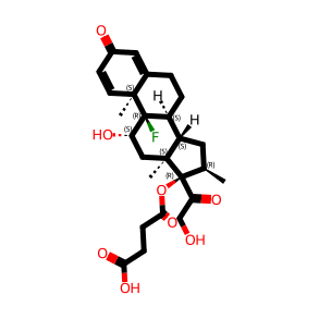 C[C@@H]1C[C@H]2[C@@H]3CCC4=CC(=O)C=C[C@]4(C)[C@@]3(F)[C@@H](O)C[C@]2(C)[C@@]1(OC(=O)CCC(=O)O)C(=O)CO